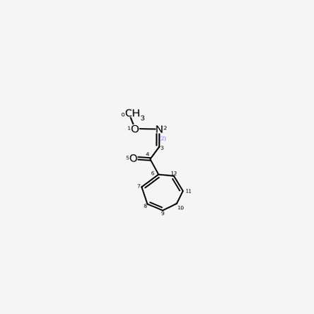 CO/N=C\C(=O)C1=CC=CCC=C1